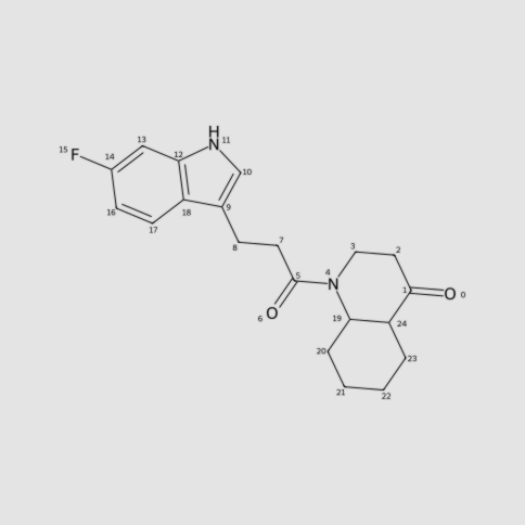 O=C1CCN(C(=O)CCc2c[nH]c3cc(F)ccc23)C2CCCCC12